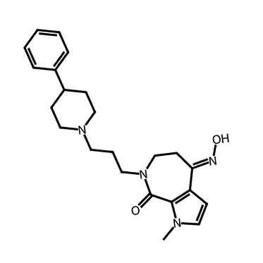 Cn1ccc2c1C(=O)N(CCCN1CCC(c3ccccc3)CC1)CCC2=NO